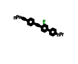 CCCC#Cc1ccc(C#Cc2ccc(-c3ccc(CCC)cc3)cc2F)cc1